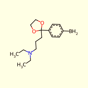 Bc1ccc(C2(CCCN(CC)CC)OCCO2)cc1